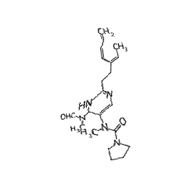 C=C/C=C\C(=C/C)CCC1=NC=C(N(C)C(=O)N2CCCC2)C(N(C)C=O)N1